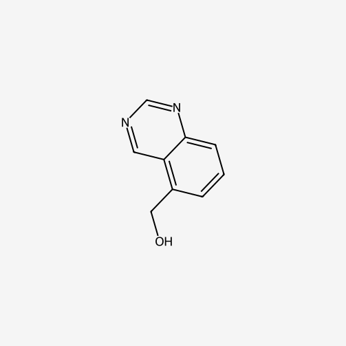 OCc1cccc2ncncc12